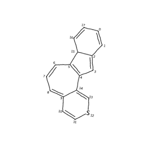 C1=CC2=CC3=C(C=CC=C4C=CSC=C43)C2C=C1